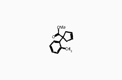 COC(=O)C1(c2ccccc2C)CC=CC1